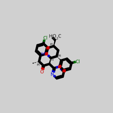 C[C@@H](C(=O)C(c1ncccn1)[C@H]1NC[C@@H](CC(=O)O)C[C@@H]1c1cccc(Cl)c1)c1ccc(Cl)cc1